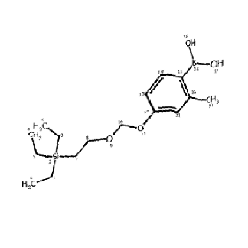 CC[Si](CC)(CC)CCOCOc1ccc(B(O)O)c(C)c1